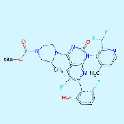 Cc1ccnc(C(F)F)c1-n1c(=O)nc(N2CCN(C(=O)OC(C)(C)C)CC2C)c2cc(F)c(-c3c(O)cccc3F)nc21